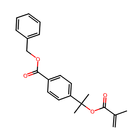 C=C(C)C(=O)OC(C)(C)c1ccc(C(=O)OCc2ccccc2)cc1